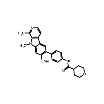 COc1cc2c(cc1-c1ccc(NC(=O)C3CCOCC3)cc1)c1ccnc(C)c1n2C